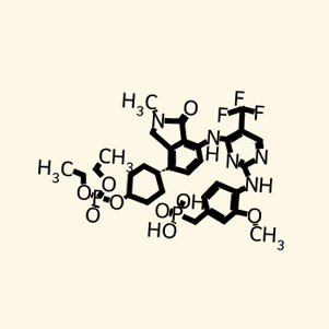 CCOP(=O)(OCC)O[C@H]1CC[C@H](c2ccc(Nc3nc(Nc4ccc(CP(=O)(O)O)cc4OC)ncc3C(F)(F)F)c3c2CN(C)C3=O)CC1